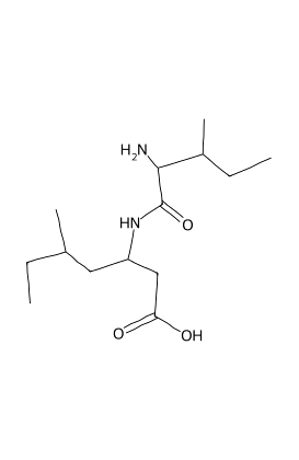 CCC(C)CC(CC(=O)O)NC(=O)C(N)C(C)CC